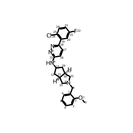 COc1ccccc1CN1C[C@H]2CC(Nc3ccc(-c4cc(F)ccc4Cl)nn3)C[C@H]2C1